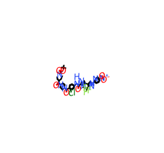 Cn1c(-c2cn(-c3ccc([N+](=O)[O-])cn3)nc2C(F)(F)F)cnc1C(=O)Nc1ccc(C(=O)N2CCN(C(=O)C3CCN(C(=O)OC(C)(C)C)CC3)CC2)c(Cl)c1